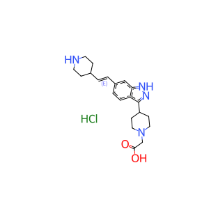 Cl.O=C(O)CN1CCC(c2n[nH]c3cc(/C=C/C4CCNCC4)ccc23)CC1